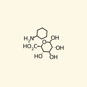 NC1CCCCC1.O=C(O)[C@H]1O[C@@H](O)[C@H](O)[C@@H](O)[C@@H]1O